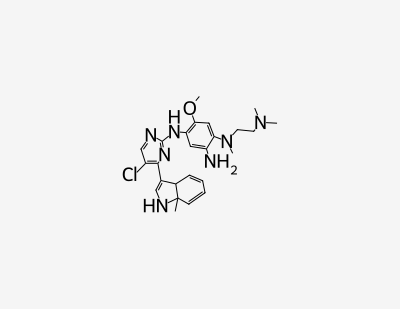 COc1cc(N(C)CCN(C)C)c(N)cc1Nc1ncc(Cl)c(C2=CNC3(C)C=CC=CC23)n1